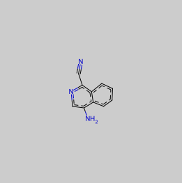 N#Cc1ncc(N)c2ccccc12